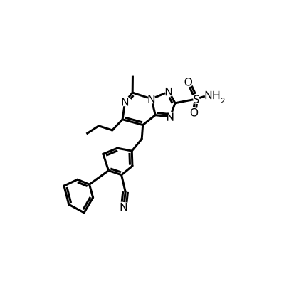 CCCc1nc(C)n2nc(S(N)(=O)=O)nc2c1Cc1ccc(-c2ccccc2)c(C#N)c1